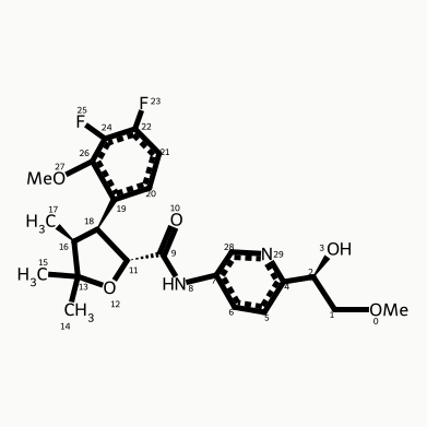 COC[C@H](O)c1ccc(NC(=O)[C@@H]2OC(C)(C)[C@@H](C)[C@H]2c2ccc(F)c(F)c2OC)cn1